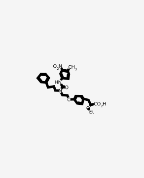 CCOC(Cc1ccc(OCCN(CCCc2ccccc2)C(=O)Nc2ccc(C)c([N+](=O)[O-])c2)cc1)C(=O)O